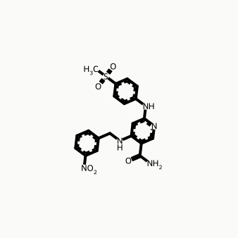 CS(=O)(=O)c1ccc(Nc2cc(NCc3cccc([N+](=O)[O-])c3)c(C(N)=O)cn2)cc1